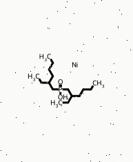 CCCCC(CC)CP(=O)(O)CC(CC)CCCC.[Ni]